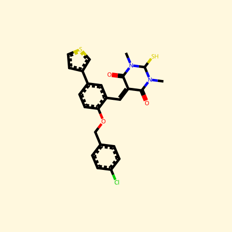 CN1C(=O)C(=Cc2cc(-c3ccsc3)ccc2OCc2ccc(Cl)cc2)C(=O)N(C)C1S